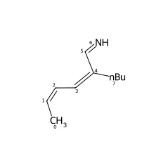 C/C=C\C=C(/C=N)CCCC